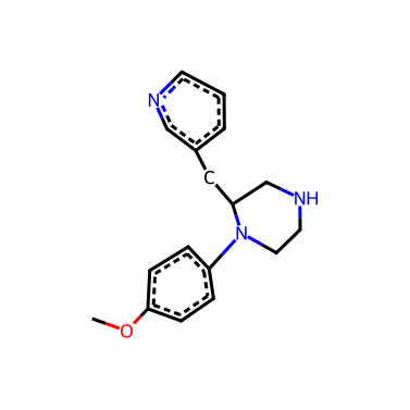 COc1ccc(N2CCNCC2Cc2cccnc2)cc1